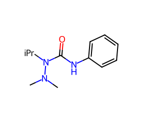 CC(C)N(C(=O)Nc1ccccc1)N(C)C